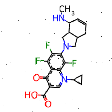 CNC1C=CCC2CN(c3c(F)c(F)c4c(=O)c(C(=O)O)cn(C5CC5)c4c3F)CC21